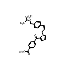 CCOC(=O)C(C)OCc1ccc(/C=C\Cn2cccc2C(=O)c2ccc(C(=O)OC)cc2)cc1